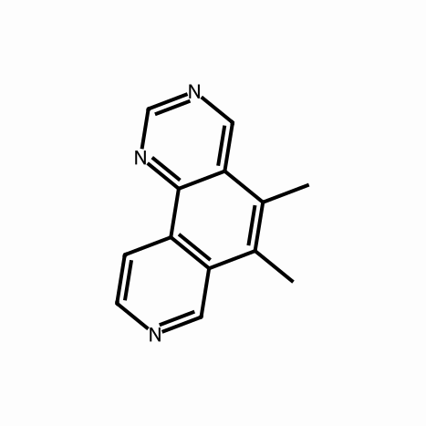 Cc1c(C)c2cncnc2c2ccncc12